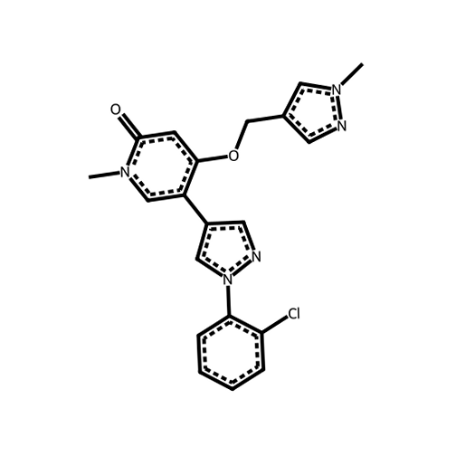 Cn1cc(COc2cc(=O)n(C)cc2-c2cnn(-c3ccccc3Cl)c2)cn1